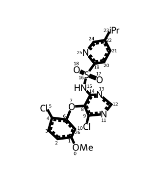 COc1ccc(Cl)c(Oc2c(Cl)ncnc2NS(=O)(=O)c2ccc(C(C)C)cn2)c1